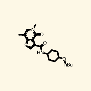 CCCCOC1CCC(NC(=O)c2csc3c(C)cn(C)c(=O)c23)CC1